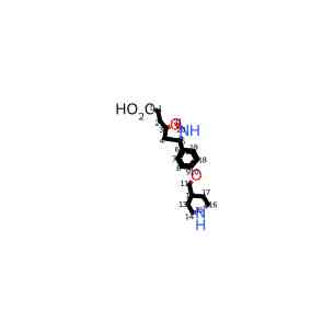 O=C(O)CCC1CC(c2ccc(OCC3CCNCC3)cc2)NO1